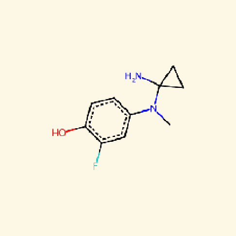 CN(c1ccc(O)c(F)c1)C1(N)CC1